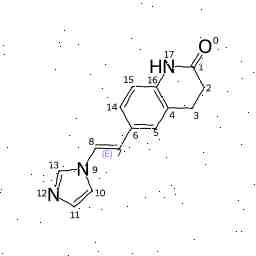 O=C1CCc2cc(/C=C/n3ccnc3)ccc2N1